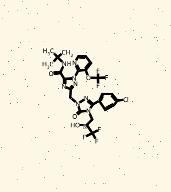 CC(C)(C)NC(=O)c1nc(Cn2nc(-c3ccc(Cl)cc3)n(C[C@H](O)C(F)(F)F)c2=O)nn1-c1ncccc1OC(F)(F)F